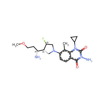 COCC[C@@H](N)[C@H]1CN(c2ccc3c(=O)n(N)c(=O)n(C4CC4)c3c2C)C[C@@H]1F